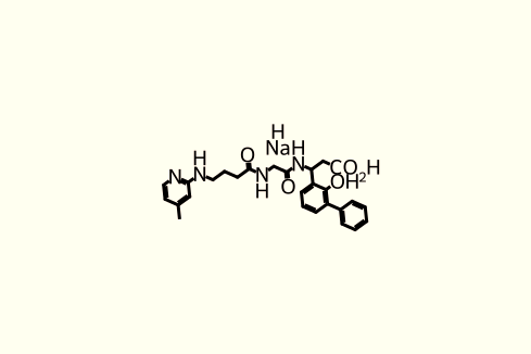 Cc1ccnc(NCCCC(=O)NCC(=O)NC(CC(=O)O)c2cccc(-c3ccccc3)c2O)c1.[NaH]